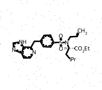 C=CCN([C@@H](CC(C)C)C(=O)OCC)S(=O)(=O)c1ccc(Cc2nccc3nc[nH]c23)cc1